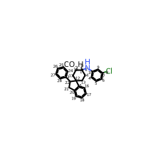 O=C(O)C1(Nc2cccc(Cl)c2)CCC2(CC1)c1ccccc1CC2c1ccccc1